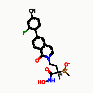 C[S+]([O-])[C@](C)(CCn1ccc2cc(-c3ccc(C#N)cc3F)ccc2c1=O)C(=O)NO